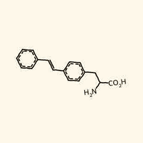 NC(Cc1ccc(/C=C/c2ccccc2)cc1)C(=O)O